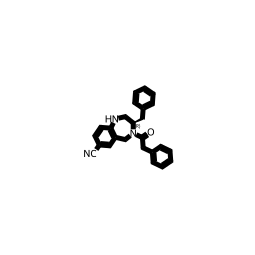 N#Cc1ccc2c(c1)CN(C(=O)Cc1ccccc1)[C@H](Cc1ccccc1)CN2